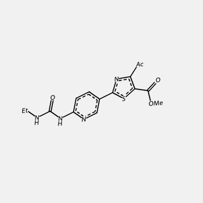 CCNC(=O)Nc1ccc(-c2nc(C(C)=O)c(C(=O)OC)s2)cn1